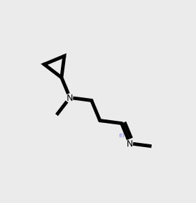 C/N=C/CCN(C)C1CC1